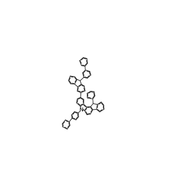 c1ccc(-c2ccc(-n3c4ccc(-c5ccc6c(c5)-c5ccccc5C6c5cccc(-c6ccccc6)c5)cc4c4c5c(ccc43)-c3ccccc3C5c3ccccc3)cc2)cc1